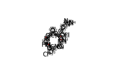 COC[C@@H]1NC(=O)[C@H](CCCN(C)C)N(Cc2ccc(Cl)cc2Oc2ccc(-c3cnc(CN(C)C)n3C)cc2)C(=O)C[C@@H](Cc2ccccc2)C(=O)N(C)[C@H]2CCCC[C@@H]2NC(=O)C[C@H](Cc2ccc(Cl)cc2)N(C)C1=O